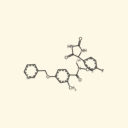 Cc1cc(OCc2cccnc2)ccc1C(=O)N(C)C[C@@]1(c2ccc(F)cc2)NC(=O)NC1=O